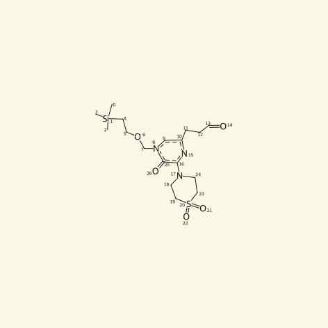 C[Si](C)(C)CCOCn1cc(CCC=O)nc(N2CCS(=O)(=O)CC2)c1=O